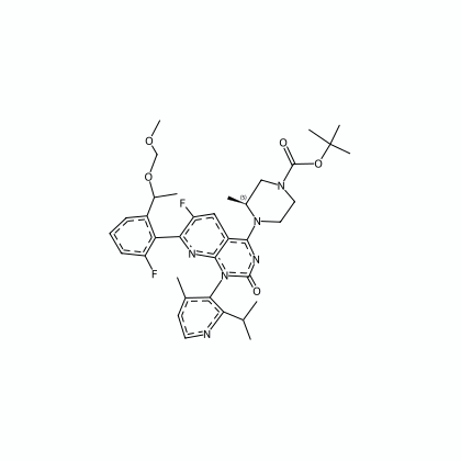 COCOC(C)c1cccc(F)c1-c1nc2c(cc1F)c(N1CCN(C(=O)OC(C)(C)C)C[C@@H]1C)nc(=O)n2-c1c(C)ccnc1C(C)C